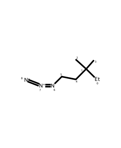 CCC(C)(C)CCN=[N+]=[N-]